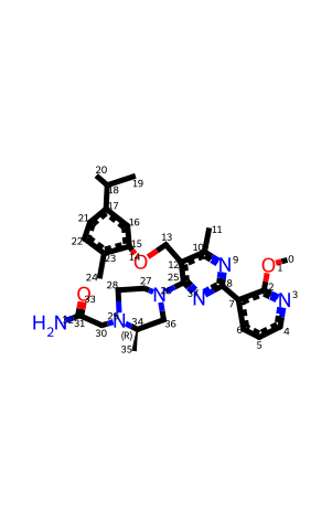 COc1ncccc1-c1nc(C)c(COc2cc(C(C)C)ccc2C)c(N2CCN(CC(N)=O)[C@H](C)C2)n1